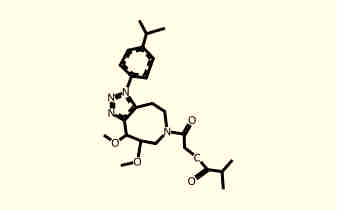 COC1CN(C(=O)CCC(=O)C(C)C)CCc2c(nnn2-c2ccc(C(C)C)cc2)C1OC